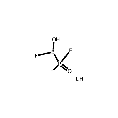 O=P(F)(F)B(O)F.[LiH]